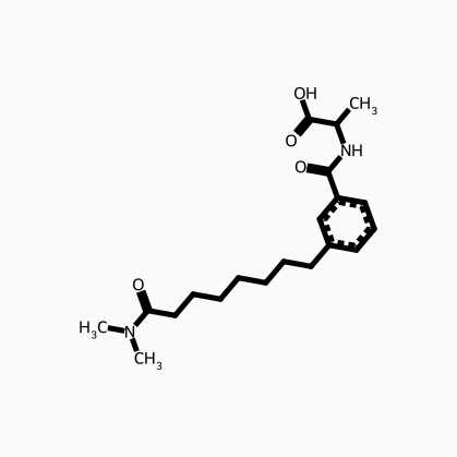 CC(NC(=O)c1cccc(CCCCCCCC(=O)N(C)C)c1)C(=O)O